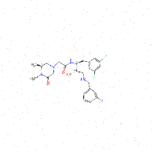 C[C@H]1CN(CC(=O)N[C@@H](Cc2cc(F)cc(F)c2)[C@@H](O)CNCc2cccc(I)c2)CC(=O)N1C